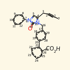 CC#CCc1cn(-c2ccccc2)c(=O)n1Cc1ccc(-c2ccccc2C(=O)O)cc1